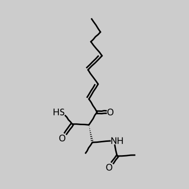 CCC/C=C/C=C/C(=O)[C@@H](C(=O)S)C(C)NC(C)=O